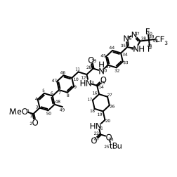 COC(=O)c1ccc(-c2ccc(CC(NC(=O)C3CCC(CNC(=O)OC(C)(C)C)CC3)C(=O)Nc3ccc(-c4nnc(C(F)(F)C(F)(F)F)[nH]4)cc3)cc2)c(C)c1